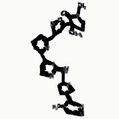 CN1CCC(O)(c2cc(-c3cccc(-c4ccnc(Nc5ccc(-c6nncn6C)cn5)n4)n3)no2)C1=O